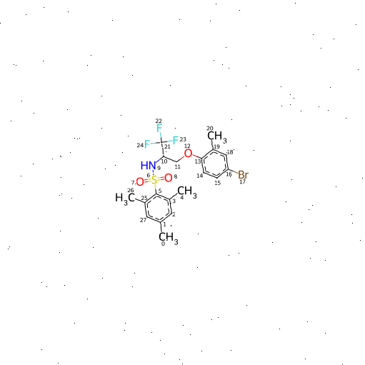 Cc1cc(C)c(S(=O)(=O)NC(COc2ccc(Br)cc2C)C(F)(F)F)c(C)c1